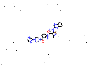 Cc1nsc(Nc2cnc3ccccc3n2)c1C(=O)Nc1cccc(C(=O)N2CCN(c3cnccn3)CC2)c1